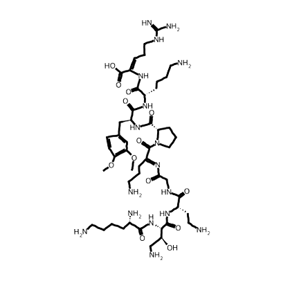 COc1ccc(C[C@H](NC(=O)[C@@H]2CCCN2C(=O)/C(CCCN)=N/C(=O)CNC(=O)[C@H](CCN)NC(=O)[C@@H](NC(=O)[C@@H](N)CCCCN)[C@@H](O)CN)C(=O)N[C@@H](CCCCN)C(=O)N/C(=C\CCNC(=N)N)C(=O)O)cc1OC